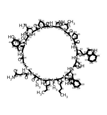 CCCCC[C@H]1C(=O)N(C)[C@@H](CCCC)C(=O)N[C@@H](C)C(=O)N[C@H](C(=O)NCC(N)=O)CSCC(=O)N[C@@H](Cc2ccc(O)cc2)C(=O)N(C)[C@@H](C)C(=O)N[C@@H](CC(N)=O)C(=O)N2CCC[C@H]2C(=O)N[C@@H](CN)C(=O)N[C@@H](CC(C)C)C(=O)N2CCCC2C(=O)N[C@@H](CCc2c[nH]c3ccccc23)C(=O)N[C@@H](CO)C(=O)N[C@@H](Cc2c[nH]c3ccccc23)C(=O)N1C